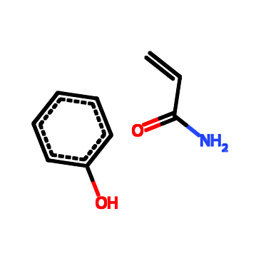 C=CC(N)=O.Oc1ccccc1